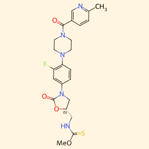 COC(=S)NC[C@H]1CN(c2ccc(N3CCN(C(=O)c4ccc(C)nc4)CC3)c(F)c2)C(=O)O1